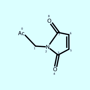 CC(=O)CN1C(=O)C=CC1=O